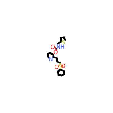 O=C(NCc1cccs1)Oc1cccnc1CCCS(=O)(=O)c1ccccc1